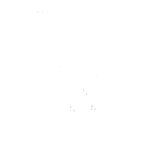 c1ccc(-c2nc(-c3ccccc3)nc(-c3cccc4c3sc3c(-c5cc(-c6cccc7oc8ccccc8c67)cc6sc7ccccc7c56)cccc34)n2)cc1